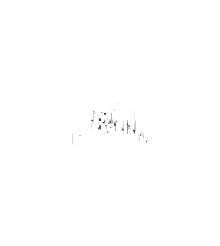 O=C(Cn1c(-c2ccccc2)cnc(NCc2ccc(F)cc2)c1=O)NCc1cc2cnccc2[nH]1